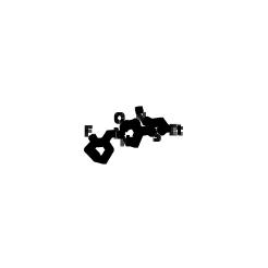 CCc1cc2c(s1)c1cnn(CC3=C(F)C=CCC3)c(=O)c1n2C